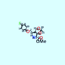 COC(=O)c1ncc(COc2ccc(F)cc2)c2c1OC(C)(C)OC2